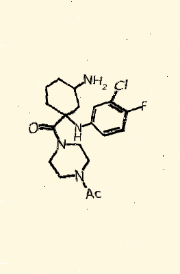 CC(=O)N1CCN(C(=O)C2(Nc3ccc(F)c(Cl)c3)CCCC(N)C2)CC1